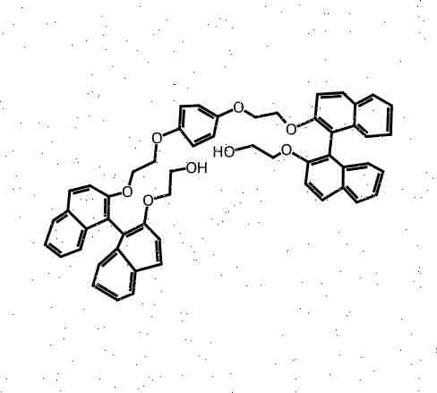 OCCOc1ccc2ccccc2c1-c1c(OCCOc2ccc(OCCOc3ccc4ccccc4c3-c3c(OCCO)ccc4ccccc34)cc2)ccc2ccccc12